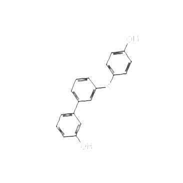 Oc1ccc(Sc2cccc(-c3cccc(O)c3)c2)cc1